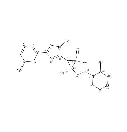 CC(C)n1nc(-c2cncc(C(F)(F)F)c2)nc1C1[C@H]2CC(N3CCOC[C@@H]3C)C[C@@H]12